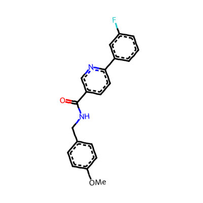 COc1ccc(CNC(=O)c2ccc(-c3cccc(F)c3)nc2)cc1